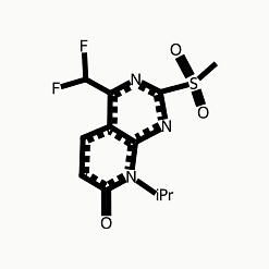 CC(C)n1c(=O)ccc2c(C(F)F)nc(S(C)(=O)=O)nc21